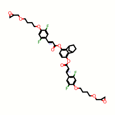 O=C(/C=C/c1cc(F)c(OCCCCOCC2CO2)cc1F)Oc1ccc(OC(=O)/C=C/c2cc(F)c(OCCCCOCC3CO3)cc2F)c2c1C1CCC2C1